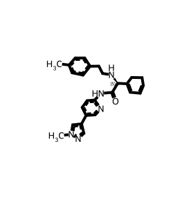 Cc1ccc(CCN[C@H](C(=O)Nc2ccc(-c3cnn(C)c3)cn2)C2=CC=CCC2)cc1